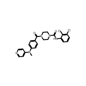 CN(c1ccncc1)c1ccc(C(=O)N2CCN(C(=O)Nc3cccc(Cl)c3Cl)CC2)cc1